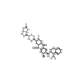 COc1cc(N2CCC(N3CCC4CN(C)CC43)CC2)c(C)cc1Nc1ncc(Br)c(Nc2ccc3nccnc3c2P(C)C)n1